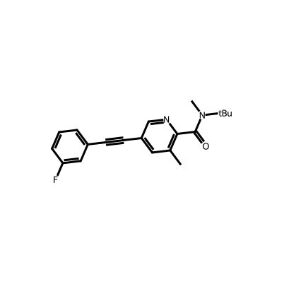 Cc1cc(C#Cc2cccc(F)c2)cnc1C(=O)N(C)C(C)(C)C